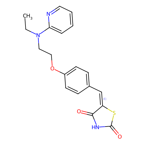 CCN(CCOc1ccc(/C=C2/SC(=O)NC2=O)cc1)c1ccccn1